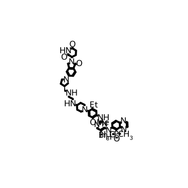 CCc1cc(Nc2ncc(Br)c(Nc3ccc4nccnc4c3P(C)(C)=O)n2)c(OC)cc1N1CCC(NCCNC[C@H]2CCN(c3ccc4c(c3)CN(C3CCC(=O)NC3=O)C4=O)C2)CC1